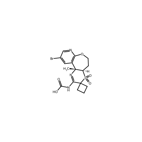 C[C@]12N=C(NC(=O)O)C3(CCC3)S(=O)(=O)[C@@H]1CCOc1ncc(Br)cc12